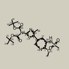 COc1ncc(-c2sc(N(C(=O)OC(C)(C)C)C(=O)OC(C)(C)C)nc2C)cc1NS(C)(=O)=O